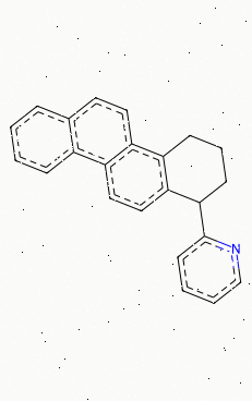 c1ccc(C2CCCc3c2ccc2c3ccc3ccccc32)nc1